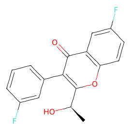 C[C@@H](O)c1oc2ccc(F)cc2c(=O)c1-c1cccc(F)c1